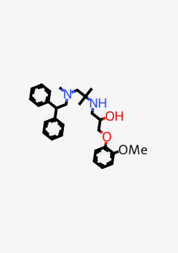 COc1ccccc1OCC(O)CNC(C)(C)CN(C)CC(c1ccccc1)c1ccccc1